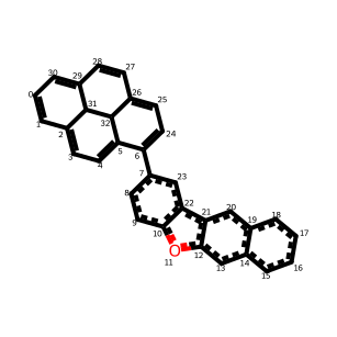 C1=CC2=CC=C3C(c4ccc5oc6cc7ccccc7cc6c5c4)=CC=C4C=CC(=C1)C2C43